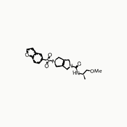 COC[C@@H](C)NC(=O)N1CC2=C(C1)CN(S(=O)(=O)c1ccc3occc3c1)C2